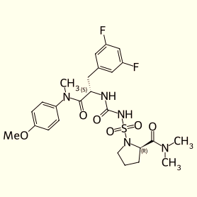 COc1ccc(N(C)C(=O)[C@H](Cc2cc(F)cc(F)c2)NC(=O)NS(=O)(=O)N2CCC[C@@H]2C(=O)N(C)C)cc1